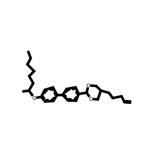 C=CCCCC1COC(c2ccc(-c3ccc(OC(C)CCCCCC)cc3)cc2)OC1